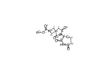 CC(C)(C)OC(=O)N1CC2(CC(=O)N(C3CCCC(=O)NC3=O)C2=O)C1